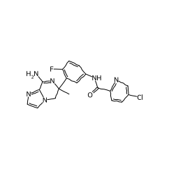 CC1(c2cc(NC(=O)c3ccc(Cl)cn3)ccc2F)Cn2ccnc2C(N)=N1